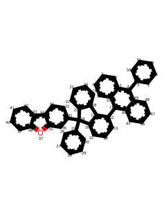 c1ccc(-c2c3ccccc3c(-c3cccc4c3-c3ccccc3C4(c3ccccc3)c3ccc4c(c3)oc3ccccc34)c3ccccc23)cc1